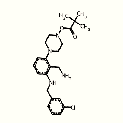 CC(C)(C)C(=O)ON1CCN(c2cccc(NCc3cccc(Cl)c3)c2CN)CC1